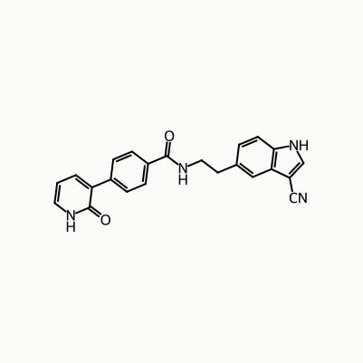 N#Cc1c[nH]c2ccc(CCNC(=O)c3ccc(-c4ccc[nH]c4=O)cc3)cc12